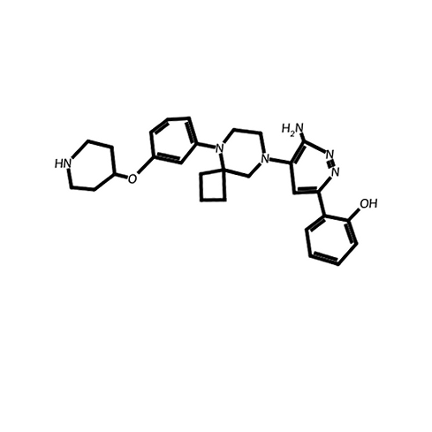 Nc1nnc(-c2ccccc2O)cc1N1CCN(c2cccc(OC3CCNCC3)c2)C2(CCC2)C1